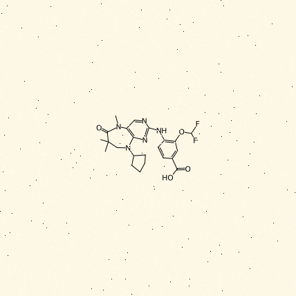 CN1C(=O)C(C)(C)CN(C2CCCC2)c2nc(Nc3ccc(C(=O)O)cc3OC(F)F)ncc21